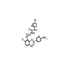 CC(=O)c1ccc(F)c([C@H]2C[C@H]2NC(=O)Nc2ccc(Br)cn2)c1OC(=O)c1ccc(N)nc1